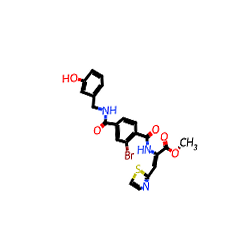 COC(=O)/C(=C/c1nccs1)NC(=O)c1ccc(C(=O)NCc2cccc(O)c2)cc1Br